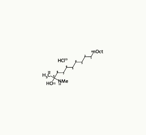 CCCCCCCCCCCCCCCCC(C)(O)NC.Cl